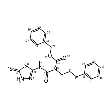 O=C(Nc1n[nH]c(=S)s1)N(CCCc1ccccc1)C(=O)OCc1ccccc1